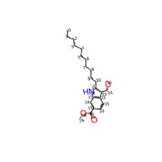 CCCCCCCCCCCc1[nH]c2cc(C(=O)OC)ccc2c1C=O